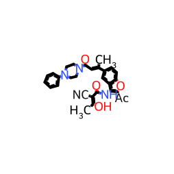 CC(=O)c1oc2ccc(C(C)=CC(=O)N3CCN(c4ccccc4)CC3)cc2c1NC(=O)C(C#N)=C(C)O